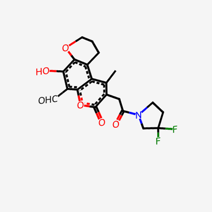 Cc1c(CC(=O)N2CCC(F)(F)C2)c(=O)oc2c(C=O)c(O)c3c(c12)CCCO3